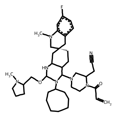 C=CC(=O)N1CCN(C2C3CC[C@]4(Cc5ccc(F)cc5N(C)C4)CC3NC(OCC3CCCN3C)N2C2CCCCCCC2)CC1CC#N